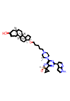 C[C@@H]1CN(CCCCCO[C@H]2CC[C@H]3[C@@H]4CC[C@H]5CC(O)CC[C@]5(C)[C@H]4CC[C@]23C)CCN1c1cc(C2([S@](C)(=N)=O)CC2)nc(-c2ccnc3[nH]ccc23)n1